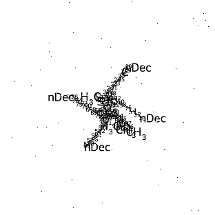 CCCCCCCCCCCCCCCCCCCCc1ccc(C2(c3ccc(CCCCCCCCCCCCCCCCCCCC)cc3)c3cc4c(cc3-c3sc(C)cc32)C(c2ccc(CCCCCCCCCCCCCCCCCCCC)cc2)(c2ccc(CCCCCCCCCCCCCCCCCCCC)cc2)c2cc(-c3ccc5c(c3)C(C)(C)c3cc(C)ccc3-5)sc2-4)cc1